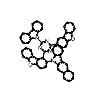 c1ccc2cc3c(cc2c1)c1ccccc1n3-c1ccc2oc3ccccc3c2c1-c1nc(-c2ccc3oc4ccccc4c3c2)nc(-n2c3ccccc3c3ccccc32)n1